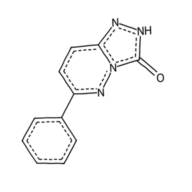 O=c1[nH]nc2ccc(-c3ccccc3)nn12